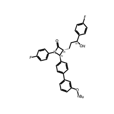 CCCCOc1cccc(-c2ccc([C@@H]3[C@@H](CC[C@H](O)c4ccc(F)cc4)C(=O)N3c3ccc(F)cc3)cc2)c1